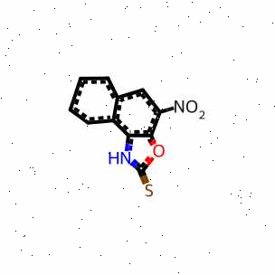 O=[N+]([O-])c1cc2ccccc2c2[nH]c(=S)oc12